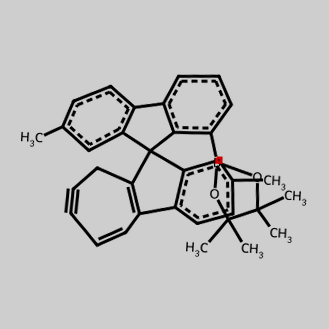 Cc1ccc2c(c1)C1(C3=C2C=CC#CC3)c2cc(C)ccc2-c2cccc(B3OC(C)(C)C(C)(C)O3)c21